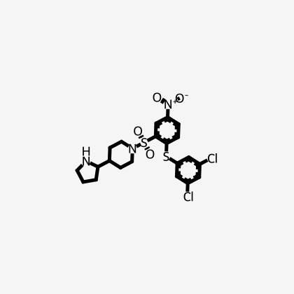 O=[N+]([O-])c1ccc(Sc2cc(Cl)cc(Cl)c2)c(S(=O)(=O)N2CCC(C3CCCN3)CC2)c1